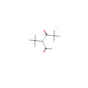 CC(=O)C(C(=O)C(C)(C)C)C(C)(C)C